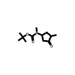 CC1CC(N(C)C(=O)OC(C)(C)C)CC1=O